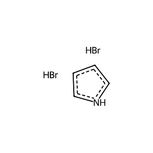 Br.Br.c1cc[nH]c1